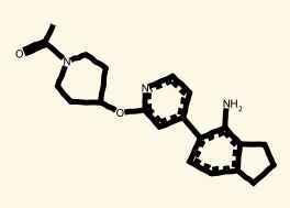 CC(=O)N1CCC(Oc2cc(-c3ccc4c(c3N)CCC4)ccn2)CC1